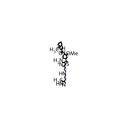 COc1cc(-c2csc3c(/C=C/CNCCCc4cn[nH]c4C)cnc(N)c23)ccc1NC(=O)c1cc2ccccc2n1C